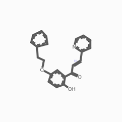 O=C(/C=C/c1ccccn1)c1cc(OCCc2ccccc2)ccc1O